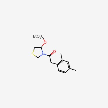 CCOC(=O)OC1CSCN1C(=O)Cc1ccc(C)cc1C